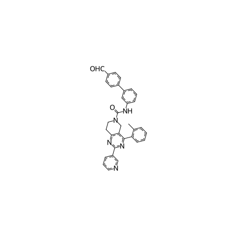 Cc1ccccc1-c1nc(-c2cccnc2)nc2c1CN(C(=O)Nc1cccc(-c3ccc(C=O)cc3)c1)CC2